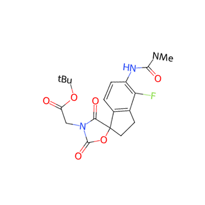 CNC(=O)Nc1ccc2c(c1F)CCC21OC(=O)N(CC(=O)OC(C)(C)C)C1=O